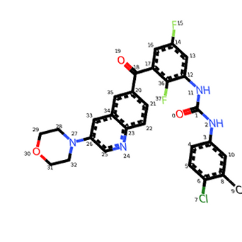 O=C(Nc1ccc(Cl)c(C(F)(F)F)c1)Nc1cc(F)cc(C(=O)c2ccc3ncc(N4CCOCC4)cc3c2)c1F